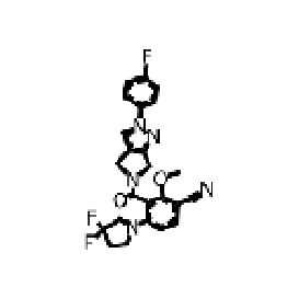 COc1c(C#N)ccc(N2CCC(F)(F)C2)c1C(=O)N1Cc2cn(-c3ccc(F)cc3)nc2C1